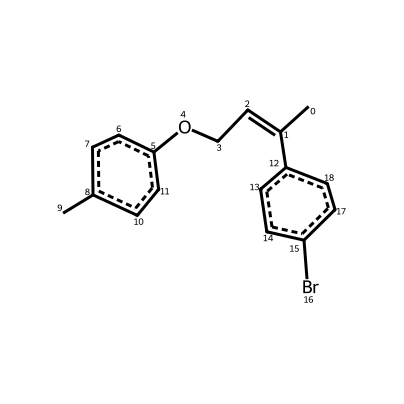 CC(=CCOc1ccc(C)cc1)c1ccc(Br)cc1